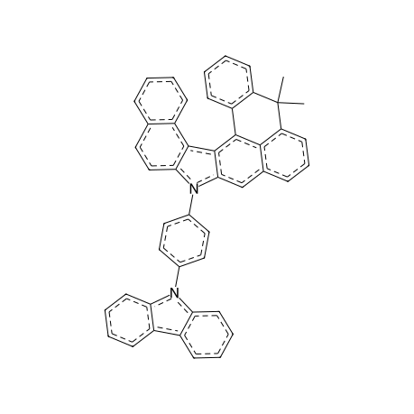 CC1(C)c2ccccc2-c2c3c1cccc3cc1c2c2c3ccccc3ccc2n1-c1ccc(-n2c3ccccc3c3ccccc32)cc1